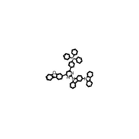 c1ccc(S(c2ccccc2)(c2ccccc2)c2ccc(-c3cc(-c4ccc5c(c4)oc4ccccc45)nc(-n4c5ccccc5c5cc(-n6c7ccccc7c7ccccc76)ccc54)n3)cc2)cc1